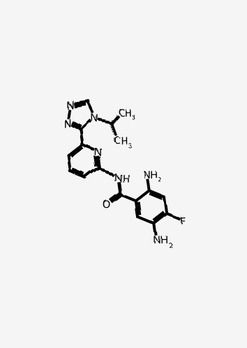 CC(C)n1cnnc1-c1cccc(NC(=O)c2cc(N)c(F)cc2N)n1